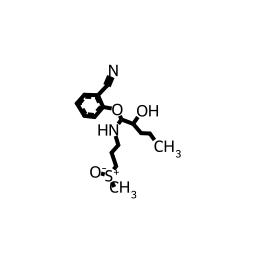 CCCC(O)C(NCCC[S+](C)[O-])Oc1ccccc1C#N